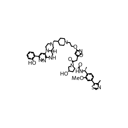 COc1cc(-c2scnc2C)ccc1[C@H](C)NC(=O)[C@@H]1C[C@@H](O)CN1C(=O)Cc1cc(OCCN2CCC(CN3CCN4c5cc(-c6ccccc6O)nnc5NC[C@H]4C3)CC2)no1